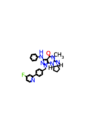 CN1C(=O)c2c(Nc3ccccc3)nn(Cc3ccc(-c4cc(F)ccn4)cc3)c2N2C1=N[C@@H]1CCC[C@@H]12